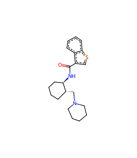 O=C(N[C@@H]1CCCC[C@H]1CN1CCCCC1)c1csc2ccccc12